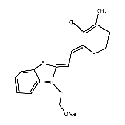 COCCN1/C(=C/C=C2\CCCC(C)=C2Cl)Sc2ccccc21